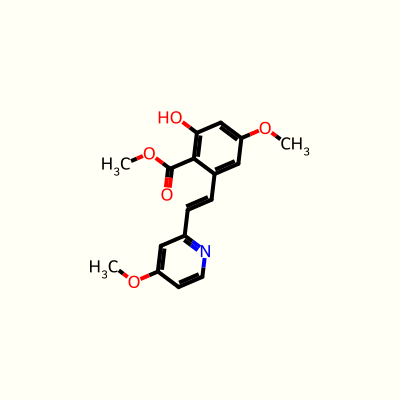 COC(=O)c1c(O)cc(OC)cc1/C=C/c1cc(OC)ccn1